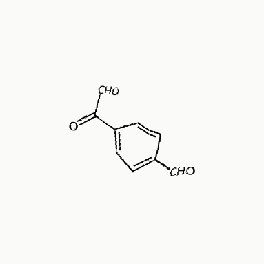 O=CC(=O)c1ccc(C=O)cc1